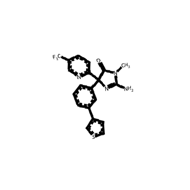 CN1C(=O)C(c2cccc(-c3ccsc3)c2)(c2ccc(C(F)(F)F)cn2)N=C1N